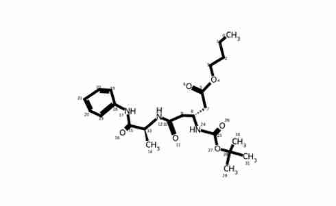 CCCCOC(=O)C[C@@H](CC(=O)N[C@@H](C)C(=O)Nc1ccccc1)NC(=O)OC(C)(C)C